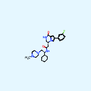 CN1CCN(C[C@@H](NC(=O)C[C@H]2CNC(=O)c3cc(-c4cccc(F)c4)cn32)C2CCCCC2)CC1